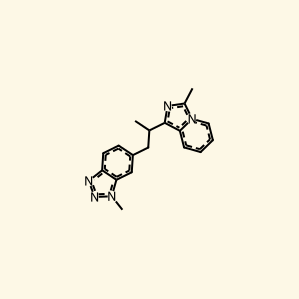 Cc1nc(C(C)Cc2ccc3nnn(C)c3c2)c2ccccn12